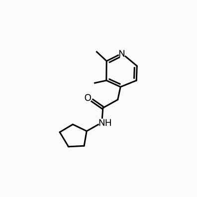 Cc1nccc(CC(=O)NC2CCCC2)c1C